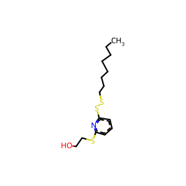 CCCCCCCCSSc1cccc(SCCO)n1